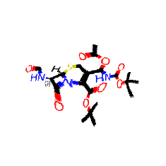 CC(=O)OC(NC(=O)OC(C)(C)C)C1=C(C(=O)OC(C)(C)C)N2C(=O)[C@H](NC=O)[C@H]2SC1